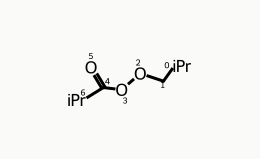 CC(C)COOC(=O)C(C)C